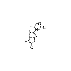 CC1COC(Cl)CN1c1ncc2c(n1)CC(=O)N2